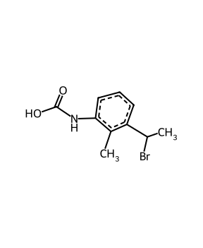 Cc1c(NC(=O)O)cccc1C(C)Br